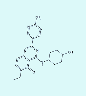 CCn1ccc2cc(-c3cnc(N)nc3)nc(NC3CCC(O)CC3)c2c1=O